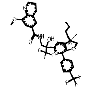 CCC[C@@]1(C)COc2c1cc(C(O)(CNC(=O)c1cc(OC)c3ncccc3c1)C(F)(F)F)nc2-c1ccc(C(F)(F)F)cc1